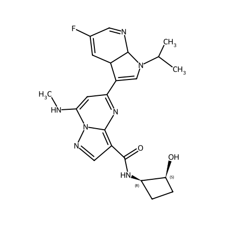 CNc1cc(C2=CN(C(C)C)C3N=CC(F)=CC23)nc2c(C(=O)N[C@@H]3CC[C@@H]3O)cnn12